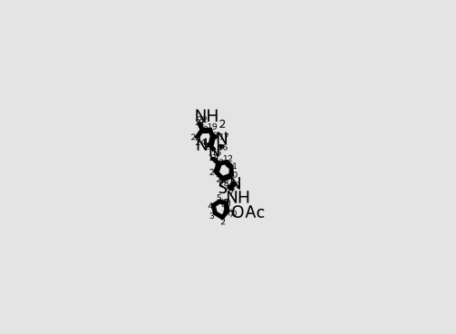 CC(=O)O[C@@H]1CCCC[C@H]1Nc1nc2ccc(Cn3cnc4cc(CN)cnc43)cc2s1